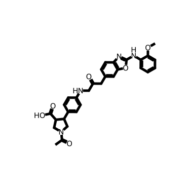 COc1ccccc1Nc1nc2ccc(CC(=O)CNc3ccc(C4CN(C(C)=O)CC4C(=O)O)cc3)cc2o1